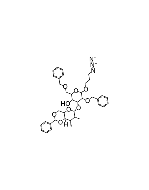 CC1[C@H](O[C@@H]2C(OCc3ccccc3)[C@H](OCCCN=[N+]=[N-])OC(COCc3ccccc3)[C@@H]2O)OC2COC(c3ccccc3)O[C@H]2[C@@H]1C